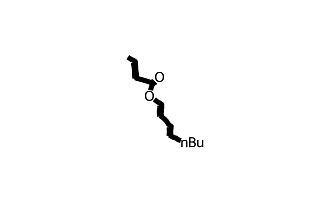 CC=CC(=O)OC=CC=CCCCC